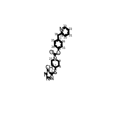 Cn1nnnc1SC1CCN(C(=O)Oc2ccc(Cc3ccccn3)cc2)CC1